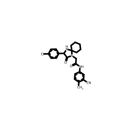 Cc1ccc(NC(=O)CN2C(=O)C(c3ccc(Cl)cc3)NC23CCCCC3)cc1C#N